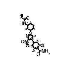 C=CC(=O)Nc1cccc(-n2cc(-c3cc(F)c(C(N)=O)c(F)c3)c([N+](=O)[O-])n2)c1